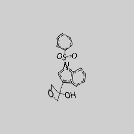 O=S(=O)(c1ccccc1)n1cc(C2(O)COC2)c2ccccc21